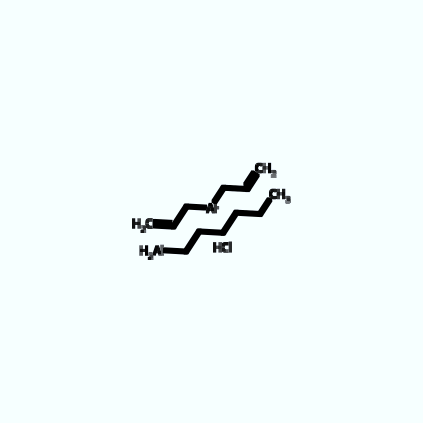 C=C[CH2][Al][CH2]C=C.CCCCC[CH2][AlH2].Cl